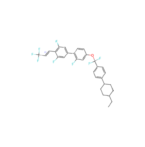 CCC1CCC(c2ccc(C(F)(F)Oc3ccc(-c4cc(F)c(/C=C/C(F)(F)F)c(F)c4)c(F)c3)cc2)CC1